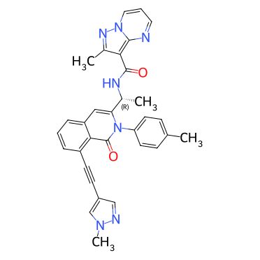 Cc1ccc(-n2c([C@@H](C)NC(=O)c3c(C)nn4cccnc34)cc3cccc(C#Cc4cnn(C)c4)c3c2=O)cc1